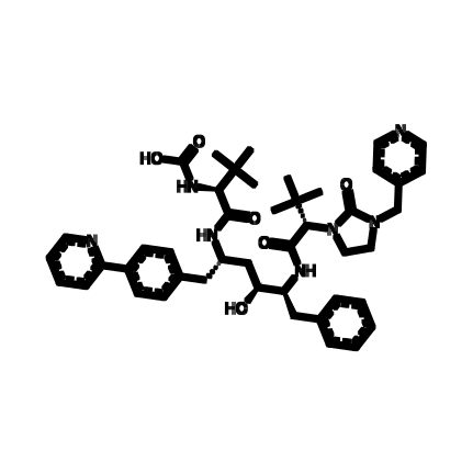 CC(C)(C)[C@H](NC(=O)O)C(=O)N[C@@H](Cc1ccc(-c2ccccn2)cc1)C[C@H](O)[C@H](Cc1ccccc1)NC(=O)[C@@H](N1CCN(Cc2ccncc2)C1=O)C(C)(C)C